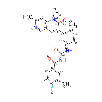 Cc1cc2c(cn1)cc(-c1cc(NC(=O)NC(=O)c3ccc(F)c(C)c3)ccc1C)c(=O)n2C